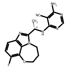 C[C@H](Nc1ncnc(N)c1C#N)c1nc2ccc(F)c3c2n1CCCO3